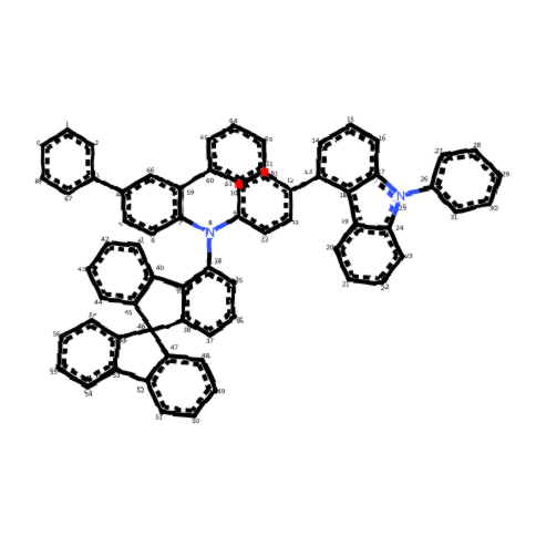 c1ccc(-c2ccc(N(c3ccc(-c4cccc5c4c4ccccc4n5-c4ccccc4)cc3)c3cccc4c3-c3ccccc3C43c4ccccc4-c4ccccc43)c(-c3ccccc3)c2)cc1